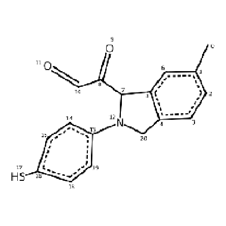 Cc1ccc2c(c1)C(C(=O)C=O)N(c1ccc(S)cc1)C2